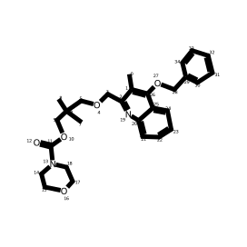 Cc1c(COCC(C)(C)COC(=O)N2CCOCC2)nc2ccccc2c1OCc1ccccc1